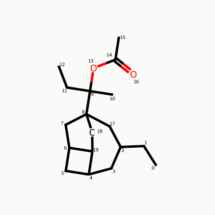 CCC1CC2CC3CC(C(C)(CC)OC(C)=O)(C1)CC23